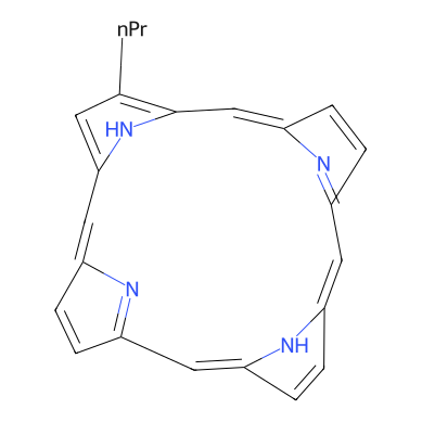 CCCc1cc2cc3nc(cc4ccc(cc5nc(cc1[nH]2)C=C5)[nH]4)C=C3